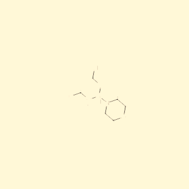 CCO[SiH](OCC)N1CCOCC1